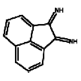 N=C1C(=N)c2cccc3c[c]cc1c23